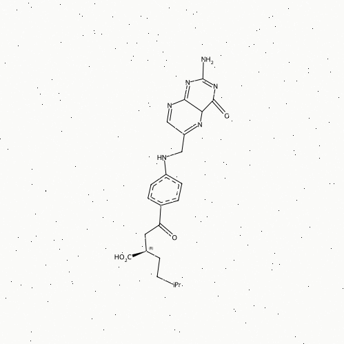 CC(C)CC[C@H](CC(=O)c1ccc(NCC2=NC3C(=O)N=C(N)N=C3N=C2)cc1)C(=O)O